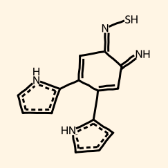 N=C1C=C(c2ccc[nH]2)C(c2ccc[nH]2)=C/C1=N/S